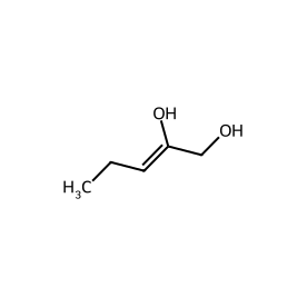 CCC=C(O)CO